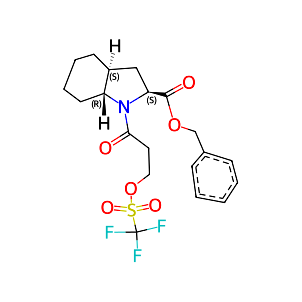 O=C(OCc1ccccc1)[C@@H]1C[C@@H]2CCCC[C@H]2N1C(=O)CCOS(=O)(=O)C(F)(F)F